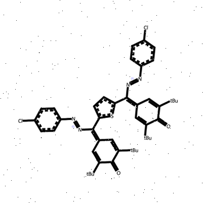 CC(C)(C)C1=CC(=C(/N=N/c2ccc(Cl)cc2)c2ccc(C(/N=N/c3ccc(Cl)cc3)=C3C=C(C(C)(C)C)C(=O)C(C(C)(C)C)=C3)s2)C=C(C(C)(C)C)C1=O